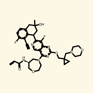 C#Cc1c(F)ccc2c1C(c1ncc3c(N4CCOC[C@@H](NC(=O)C=C)C4)nc(OCC4(CN5CCOCC5)CC4)nc3c1F)CC(C)(O)C2